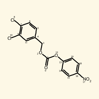 O=C(OCc1ccc(Cl)c(Cl)c1)Oc1ccc([N+](=O)[O-])cc1